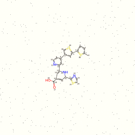 Cc1ccc(-c2cc(-c3ccnc(C4=CC(C(=O)O)=CC(c5nccs5)N4)c3)cs2)s1